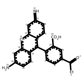 CCC(=O)c1ccc(-c2c3ccc(=N)cc-3oc3cc(N)ccc23)c(C(=O)O)c1